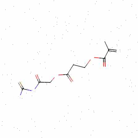 C=C(C)C(=O)OCCC(=O)OCC(=O)NC(N)=S